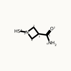 NC(=O)C1CN(S)C1